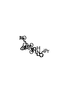 CC(C)Cc1cccc2cc(Cn3cccc(NC(=O)C(CCC=CC(=O)N(C)C)OC(=O)N4CCCC4)c3=O)[nH]c12